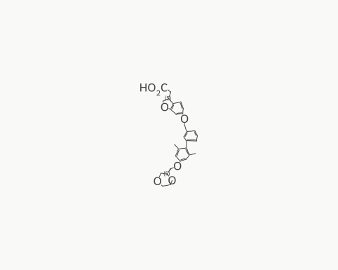 Cc1cc(OC[C@@H]2COCCO2)cc(C)c1-c1cccc(COc2ccc3c(c2)OC[C@H]3CC(=O)O)c1